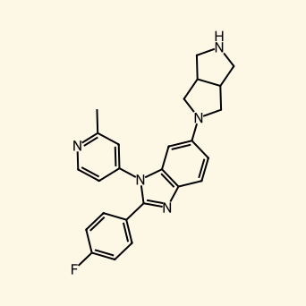 Cc1cc(-n2c(-c3ccc(F)cc3)nc3ccc(N4CC5CNCC5C4)cc32)ccn1